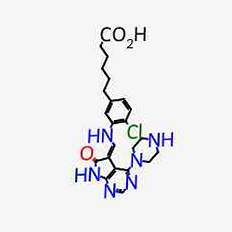 O=C(O)CCCCCc1ccc(Cl)c(N/C=C2\C(=O)Nc3ncnc(N4CCNCC4)c32)c1